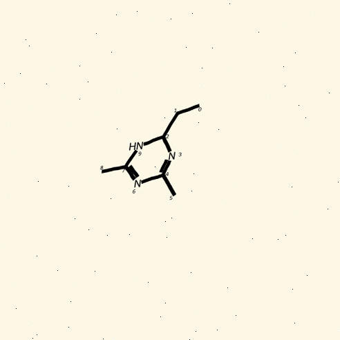 CCC1N=C(C)N=C(C)N1